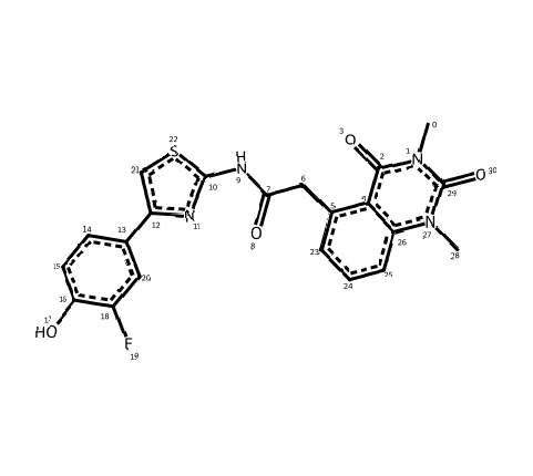 Cn1c(=O)c2c(CC(=O)Nc3nc(-c4ccc(O)c(F)c4)cs3)cccc2n(C)c1=O